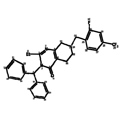 CCc1nc2c(c(=O)n1C(c1ccccc1)c1ccccc1)CCN(Cc1ccc(C(F)(F)F)cc1F)C2